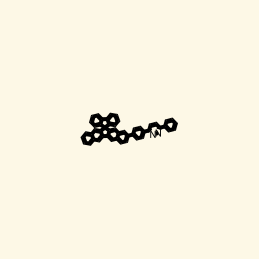 c1ccc(-c2ccc(-c3ccc(-c4ccc5cc6c(cc5c4)C4(c5ccccc5-c5ccccc54)c4cc5ccccc5cc4-6)cc3)nn2)cc1